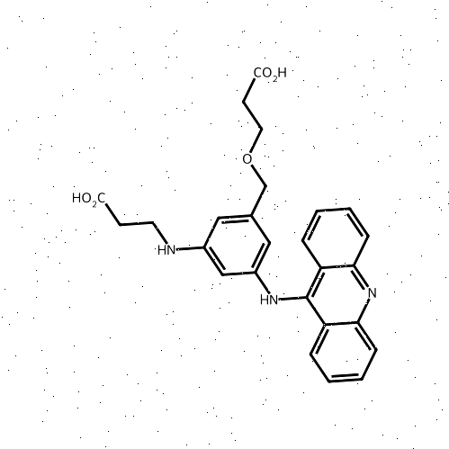 O=C(O)CCNc1cc(COCCC(=O)O)cc(Nc2c3ccccc3nc3ccccc23)c1